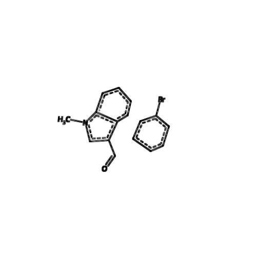 Brc1ccccc1.Cn1cc(C=O)c2ccccc21